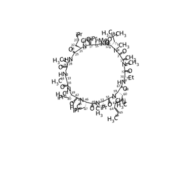 C=C1C(=O)N(C)[C@@H](CC(C)(C)OC)C(=O)N[C@H](C(C)C)C(=O)N(C)[C@H](CCC(C)C)C(=O)N[C@H](C)C(=O)N[C@@H](C)C(=O)N(C)[C@@H](CC(C)C)C(=O)N(C)[C@@H](CC(C)C)C(=O)N(C)[C@@H](C(C)C)C(=O)N(C)[C@@H](C[C@H](C)C/C=C/C)C(=O)N[C@@H](CC)C(=O)N1C